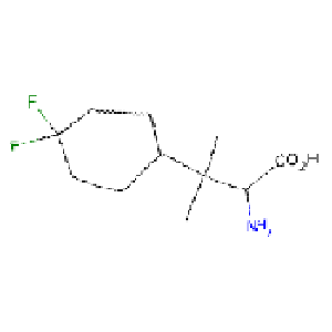 CC(C)(C1CCC(F)(F)CC1)C(N)C(=O)O